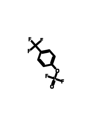 O=P(F)(F)Oc1ccc(C(F)(F)F)cc1